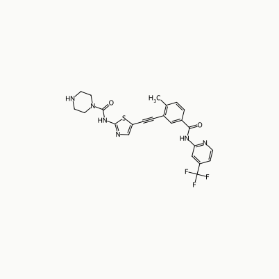 Cc1ccc(C(=O)Nc2cc(C(F)(F)F)ccn2)cc1C#Cc1cnc(NC(=O)N2CCNCC2)s1